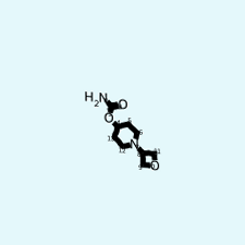 NC(=O)OC1CCN(C2COC2)CC1